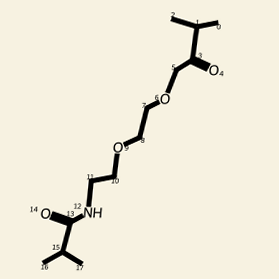 CC(C)C(=O)COCCOCCNC(=O)C(C)C